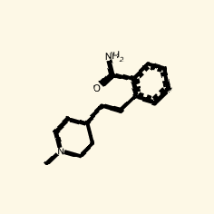 CN1CCC(CCc2ccccc2C(N)=O)CC1